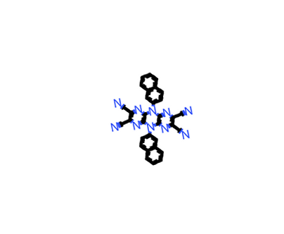 N#Cc1nc2c(nc1C#N)N(c1ccc3ccccc3c1)c1nc(C#N)c(C#N)nc1N2c1ccc2ccccc2c1